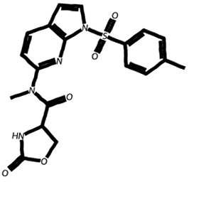 Cc1ccc(S(=O)(=O)n2ccc3ccc(N(C)C(=O)C4COC(=O)N4)nc32)cc1